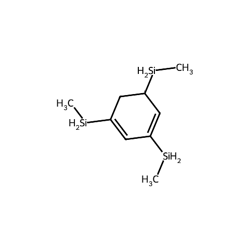 C[SiH2][C]1C=C([SiH2]C)C=C([SiH2]C)C1